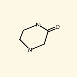 O=C1C[N]CC[N]1